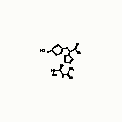 CC(C)(C)C(=O)C(Oc1ccc(Cl)cc1)n1cncn1.CCCCNC(=N)NC(=N)N.Cl